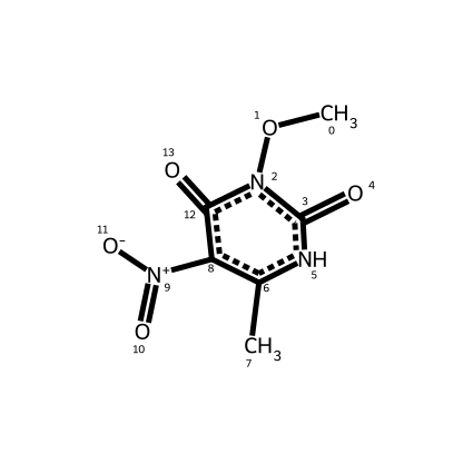 COn1c(=O)[nH]c(C)c([N+](=O)[O-])c1=O